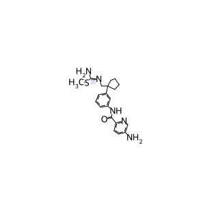 CS/C(N)=N\CC1(c2cccc(NC(=O)c3ccc(N)cn3)c2)CCCC1